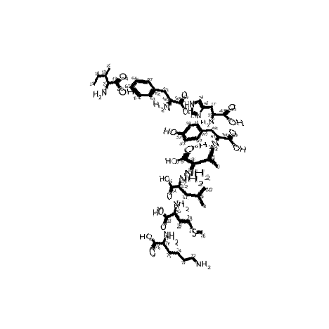 CC(C)C(N)C(=O)O.CC(C)CC(N)C(=O)O.CCC(C)C(N)C(=O)O.CSCCC(N)C(=O)O.NC(Cc1c[nH]cn1)C(=O)O.NC(Cc1ccc(O)cc1)C(=O)O.NC(Cc1ccccc1)C(=O)O.NCCCCC(N)C(=O)O